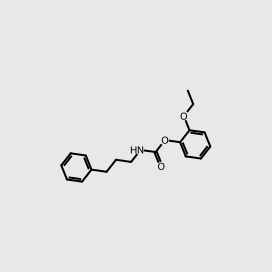 CCOc1ccccc1OC(=O)NCCCc1ccccc1